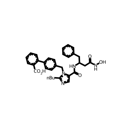 CCCCc1ncc(C(=O)NC(CC(=O)NO)Cc2ccccc2)n1Cc1ccc(-c2ccccc2C(=O)O)cc1